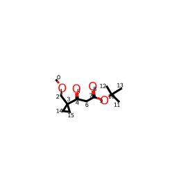 COCC1(C(=O)CC(=O)OC(C)(C)C)CC1